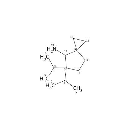 CC(C)C1(C(C)C)CCC2(CC2)C1N